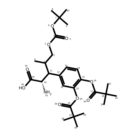 CC(COC(=O)OC(C)(C)C)C(c1ccc(OC(=O)C(C)(C)C)c(OC(=O)C(C)(C)C)c1)[C@H](N)C(=O)O